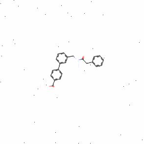 O=C(Cc1ccccc1)NCc1cccc(-c2ccc(C(=O)O)cc2)c1